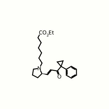 CCOC(=O)CCCCCCN1CCC[C@@H]1/C=C/C(=O)C1(c2ccccc2)CC1